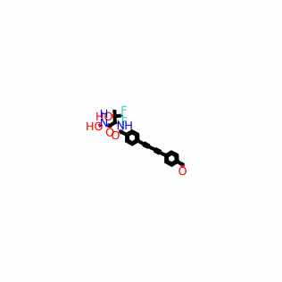 CC(O)(C(F)F)[C@H](NC(=O)c1ccc(C#CC#Cc2ccc(C=O)cc2)cc1)C(=O)NO